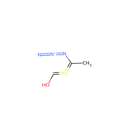 CC(N=[N+]=[N-])=S=CO